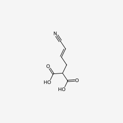 N#C/C=C/CC(C(=O)O)C(=O)O